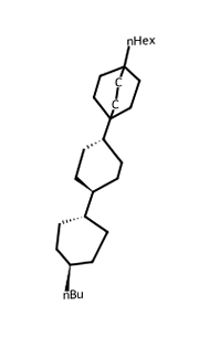 CCCCCCC12CCC([C@H]3CC[C@H]([C@H]4CC[C@H](CCCC)CC4)CC3)(CC1)CC2